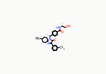 C[C@H](CO)NC(=O)c1ccc([C@@H](C)N2C(=O)C(c3cccc(C(F)(F)F)c3)=NC23CCC(C(C)(C)C)CC3)cc1